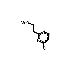 COCCc1nc[c]c(Cl)n1